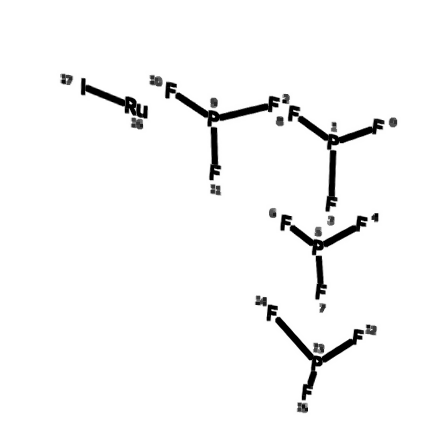 FP(F)F.FP(F)F.FP(F)F.FP(F)F.[Ru][I]